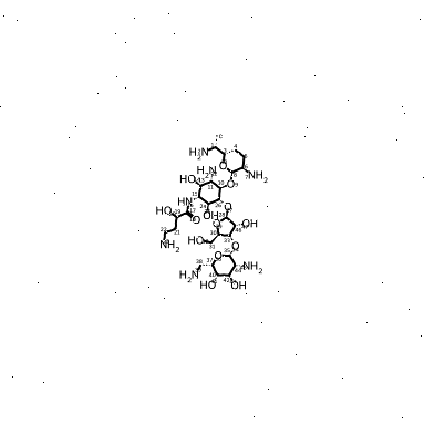 C[C@@H](N)[C@@H]1CC[C@@H](N)[C@@H](O[C@@H]2[C@@H](N)[C@H](O)[C@@H](NC(=O)C(O)CCN)[C@H](O)[C@H]2O[C@@H]2O[C@H](CO)[C@@H](O[C@H]3O[C@@H](CN)[C@@H](O)[C@H](O)[C@H]3N)[C@H]2O)O1